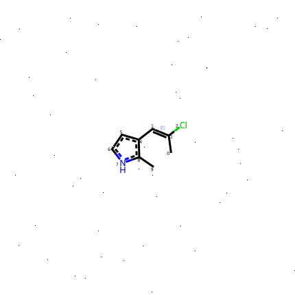 C/C(Cl)=C\c1cc[nH]c1C